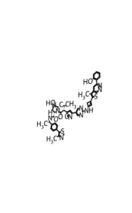 Cc1ncsc1-c1ccc([C@H](C)NC(=O)[C@@H]2C[C@@H](O)CN2C(=O)[C@@H](c2cc(-c3cnc(NC45CC(c6sc7nnc(-c8ccccc8O)cc7c6C)(C4)C5)nc3)no2)C(C)C)cc1